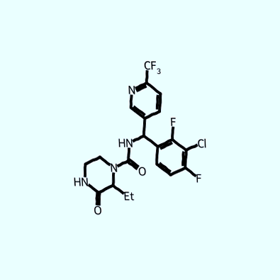 CCC1C(=O)NCCN1C(=O)NC(c1ccc(C(F)(F)F)nc1)c1ccc(F)c(Cl)c1F